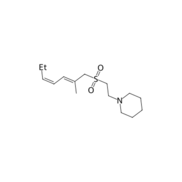 CC/C=C\C=C(/C)CS(=O)(=O)CCN1CCCCC1